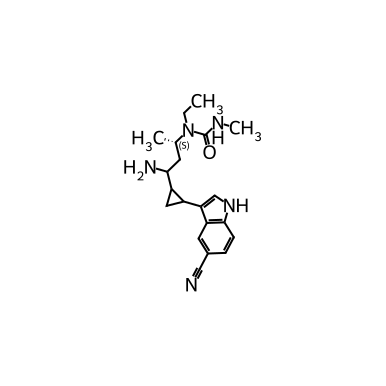 CCN(C(=O)NC)[C@@H](C)CC(N)C1CC1c1c[nH]c2ccc(C#N)cc12